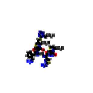 CO/N=C(\C(=O)N[C@@H]1C(=O)N2C(C(=O)O)=CCS[C@H]12)c1csc(N)n1.NCc1ccccc1CC(=O)N[C@@H]1C(=O)N2C(C(=O)O)=C(CSc3nnnn3CC(=O)O)CS[C@H]12